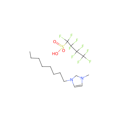 CCCCCCCCN1C=CN(C)C1.O=S(=O)(O)C(F)(F)C(F)(F)C(F)(F)C(F)(F)F